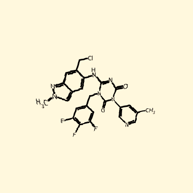 Cc1cncc(-n2c(=O)nc(Nc3cc4cn(C)nc4cc3CCl)n(Cc3cc(F)c(F)c(F)c3)c2=O)c1